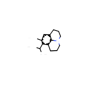 Cc1cc2c3c(c1C(C)C)CCCN3CCC2